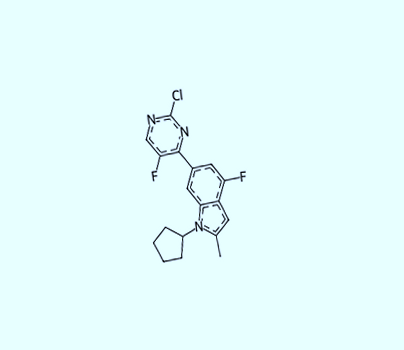 Cc1cc2c(F)cc(-c3nc(Cl)ncc3F)cc2n1C1CCCC1